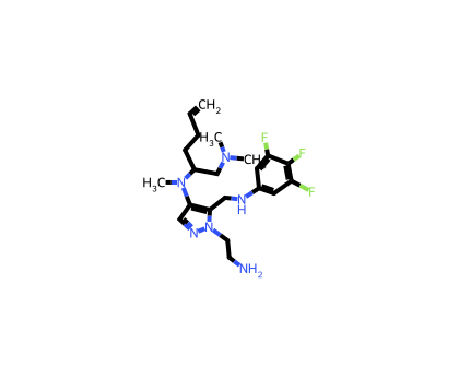 C=CCCC(CN(C)C)N(C)c1cnn(CCN)c1CNc1cc(F)c(F)c(F)c1